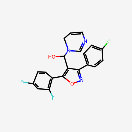 OC(c1c(-c2ccc(Cl)cc2)noc1-c1ccc(F)cc1F)N1C=NC=CC1